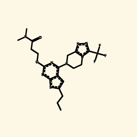 CCCc1cc2c(N3CCn4c(nnc4C(F)(F)F)C3)nc(OCCC(=O)N(C)C)nc2s1